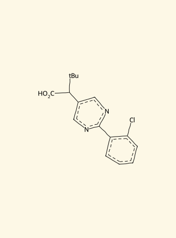 CC(C)(C)C(C(=O)O)c1cnc(-c2ccccc2Cl)nc1